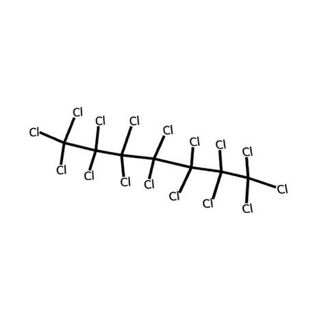 ClC(Cl)(Cl)C(Cl)(Cl)C(Cl)(Cl)C(Cl)(Cl)C(Cl)(Cl)C(Cl)(Cl)C(Cl)(Cl)Cl